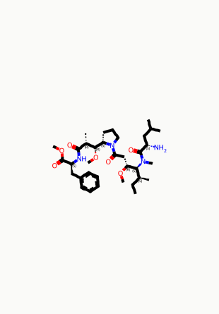 CC[C@H](C)[C@@H]([C@@H](CC(=O)N1CCC[C@H]1[C@H](OC)[C@@H](C)C(=O)N[C@@H](Cc1ccccc1)C(=O)OC)OC)N(C)C(=O)[C@@H](N)CC(C)C